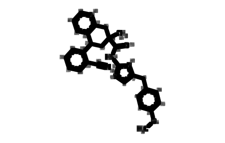 COc1ccc(Cc2csc(NC(=O)C3(C)Cc4ncccc4C(c4ccccc4C#N)C3)n2)cc1